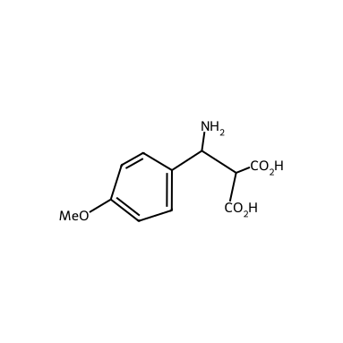 COc1ccc(C(N)C(C(=O)O)C(=O)O)cc1